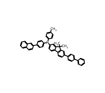 Cc1ccc(N(c2ccc(-c3ccc4ccccc4c3)cc2)c2ccc3c(c2)C(C)(C)c2cc(-c4ccc(-c5ccccc5)cc4)ccc2-3)cc1